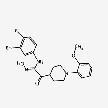 COc1ccccc1N1CCC(C(=O)/C(=N/O)Nc2ccc(F)c(Br)c2)CC1